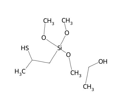 CCO.CO[Si](CC(C)S)(OC)OC